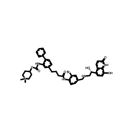 C[N+]1(C)CCC(OC(=O)Nc2cc(CCCC(=O)Nc3ccc(CNC[C@H](O)c4ccc(O)c5[nH]c(=O)ccc45)cc3Br)ccc2-c2ccccc2)CC1